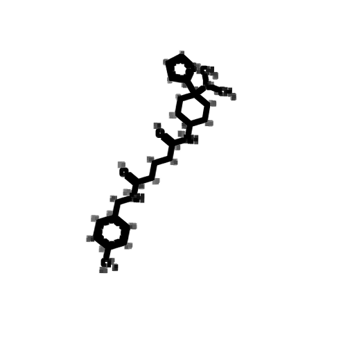 CN(C)C1(c2cccs2)CCC(NC(=O)CCCC(=O)NCc2ccc(C(F)(F)F)cc2)CC1